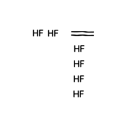 C=C.F.F.F.F.F.F